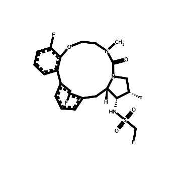 CN1CCOc2c(F)cccc2-c2cccc(c2F)C[C@H]2[C@@H](NS(=O)(=O)CF)[C@@H](F)CN2C1=O